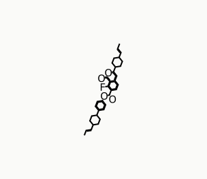 C/C=C/C1CCC(c2ccc(OC(=O)c3ccc4cc(C5CCC(/C=C/C)CC5)oc(=O)c4c3F)cc2)CC1